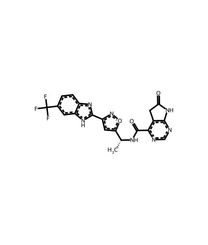 C[C@@H](NC(=O)c1ncnc2c1CC(=O)N2)c1cc(-c2nc3ccc(C(F)(F)F)cc3[nH]2)no1